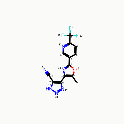 Cc1oc(-c2ccc(C(F)(F)F)nc2)nc1-c1nn[nH]c1C#N